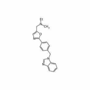 CCN(C)Cc1cnc(-c2ccc(Cn3cnc4ccccc43)cc2)o1